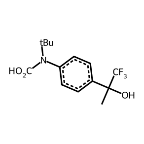 CC(C)(C)N(C(=O)O)c1ccc(C(C)(O)C(F)(F)F)cc1